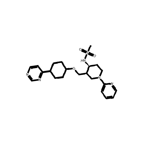 CS(=O)(=O)N[C@H]1CCN(c2ccccn2)CC1COC1CCC(c2ccncn2)CC1